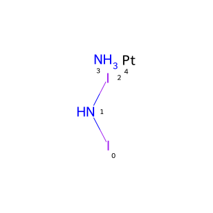 INI.N.[Pt]